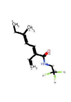 C=C/C(=C\C=C(/C)CC)C(=O)NCC(F)(F)F